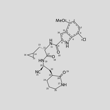 COc1ccc(Cl)c2[nH]c(C(=O)N[C@@H](CC3CC3)C(=O)N[C@H](C#N)C[C@@H]3CCCNC3=O)cc12